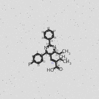 CC/C(=C\c1c(-c2ccc(F)cc2)nc(-c2ccccc2)nc1C(C)C)C(=O)O